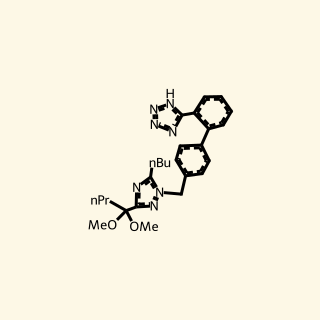 CCCCc1nc(C(CCC)(OC)OC)nn1Cc1ccc(-c2ccccc2-c2nnn[nH]2)cc1